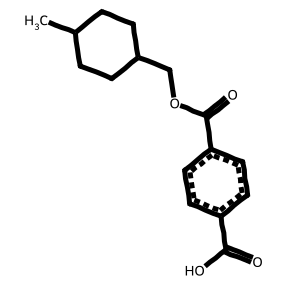 CC1CCC(COC(=O)c2ccc(C(=O)O)cc2)CC1